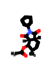 CC(=O)OC1[C@H]2C(=O)N(c3ccccc3)C(=O)[C@H]2C=C[C@@H]1C